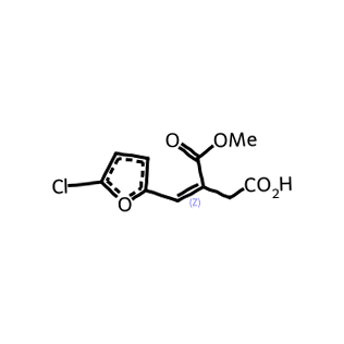 COC(=O)/C(=C\c1ccc(Cl)o1)CC(=O)O